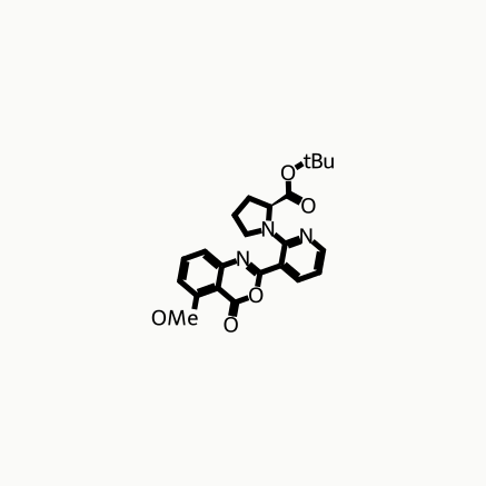 COc1cccc2nc(-c3cccnc3N3CCC[C@H]3C(=O)OC(C)(C)C)oc(=O)c12